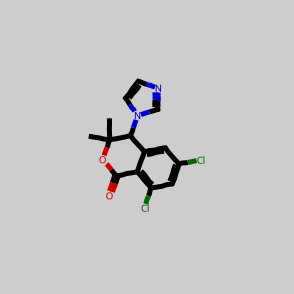 CC1(C)OC(=O)c2c(Cl)cc(Cl)cc2C1n1ccnc1